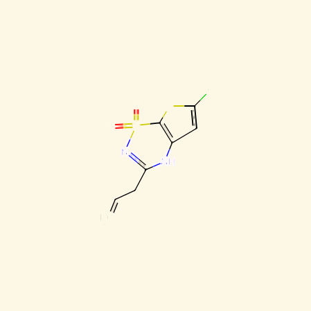 C=CCC1=NS(=O)(=O)c2sc(Cl)cc2N1